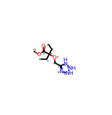 CCC(CC)(OCC1=NNNN1)C(=O)OC